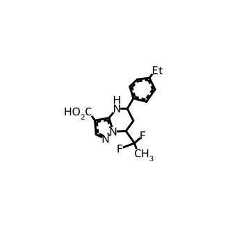 CCc1ccc(C2CC(C(C)(F)F)n3ncc(C(=O)O)c3N2)cc1